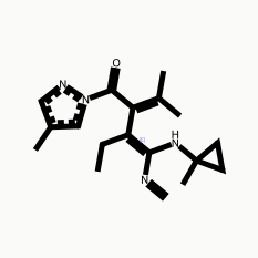 C=N/C(NC1(C)CC1)=C(\CC)C(C(=O)n1cc(C)cn1)=C(C)C